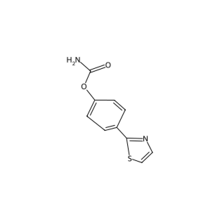 NC(=O)Oc1ccc(-c2nccs2)cc1